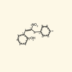 O=[N+]([O-])C(=Cc1ccccc1O)Cc1ccccc1